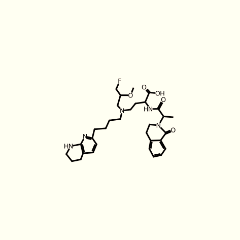 COC(CF)CN(CCCCc1ccc2c(n1)NCCC2)CCC(NC(=O)C(C)N1CCc2ccccc2C1=O)C(=O)O